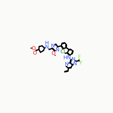 C=Cc1cnc2c(Nc3cccc(-c4cccc(-c5cnc(CNC6CCC(C(=O)OC)CC6)c(OC)n5)c4Cl)c3C)nc(C(F)F)nc2c1